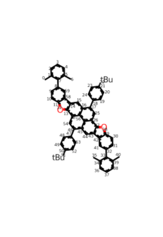 Cc1cccc(C)c1-c1ccc2oc3c(cc4c(-c5ccc(C(C)(C)C)cc5)cc5c6oc7ccc(-c8c(C)cccc8C)cc7c6cc6c(-c7ccc(C(C)(C)C)cc7)cc3c4c65)c2c1